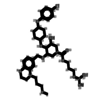 COCCCN1CCOc2ccc(COC3CN(C(=O)OCCCON(O)O)CC(O)C3OC3CCC(Oc4ccc(Cl)cc4)CC3)cc21